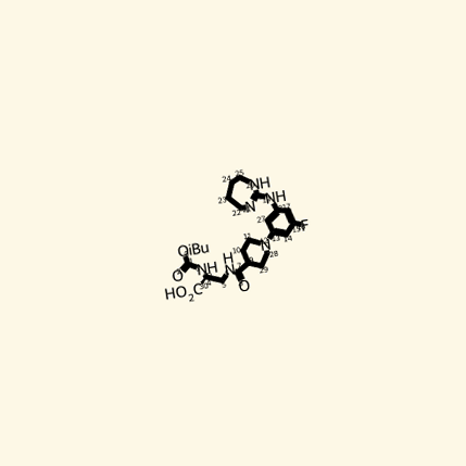 CC(C)COC(=O)N[C@@H](CNC(=O)C1CCN(c2cc(F)cc(NC3=NCCCCN3)c2)CC1)C(=O)O